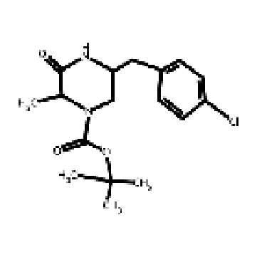 CC1C(=O)NC(Cc2ccc(Cl)cc2)CN1C(=O)OC(C)(C)C